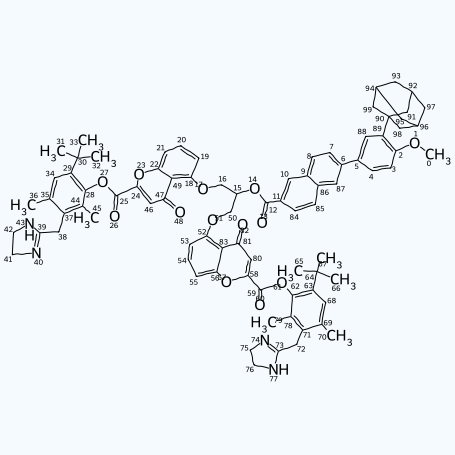 COc1ccc(-c2ccc3cc(C(=O)OC(COc4cccc5oc(C(=O)Oc6c(C(C)(C)C)cc(C)c(CC7=NCCN7)c6C)cc(=O)c45)COc4cccc5oc(C(=O)Oc6c(C(C)(C)C)cc(C)c(CC7=NCCN7)c6C)cc(=O)c45)ccc3c2)cc1C12CC3CC(CC(C3)C1)C2